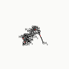 CCCCCCCCCCCOc1cccc(C(=O)N[C@@H]2C(O[C@H]3C(O)C(NC(C)=O)[C@H](OC4C(CO)O[C@@H](O[C@H]5C(O)C(NC(C)=O)C(OC6C(CO[C@@H]7OC8OC8[C@H](O)[C@H]7OC)OC(O)[C@@H](NC(C)=O)[C@@H]6O)O[C@H]5CO)[C@@H](NC(C)=O)[C@@H]4O)O[C@H]3CO)OC(CO)[C@@H](O)[C@@H]2O)c1